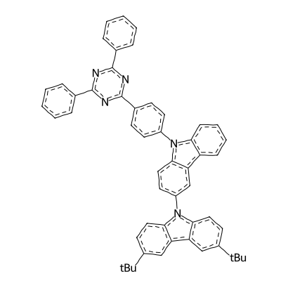 CC(C)(C)c1ccc2c(c1)c1cc(C(C)(C)C)ccc1n2-c1ccc2c(c1)c1ccccc1n2-c1ccc(-c2nc(-c3ccccc3)nc(-c3ccccc3)n2)cc1